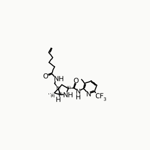 C=CCCCC(=O)NC[C@@]12C[C@@H](C(=O)Nc3nc(C(F)(F)F)ccc3C)N[C@@H]1[C@@H]2C